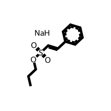 CCCOS(=O)(=O)C=Cc1ccccc1.[NaH]